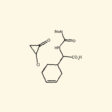 CNC(=O)NC(C(=O)O)C1CC=CCC1.O=C1CC1Cl